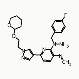 C=Nc1ccc(-c2cnn(CCOC3CCCCO3)c2)nc1N(N)Cc1ccc(F)cc1